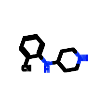 N#Cc1ccccc1NC1CCNCC1